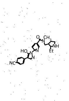 CCC1NCCC1CN(C)C(=O)c1ccc(-n2ncc(-c3ccc(C#N)cc3)c2O)nc1